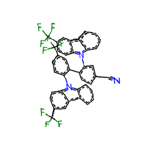 N#Cc1ccc(-c2cc(C(F)(F)F)ccc2-n2c3ccccc3c3cc(C(F)(F)F)ccc32)c(-n2c3ccccc3c3cc(C(F)(F)F)ccc32)c1